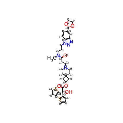 CN(CCCn1nnc2cc(C3OCCO3)ccc21)C(=O)CCN1CCC2(CC1)CC(OC(=O)C(O)(c1cccs1)c1cccs1)C2